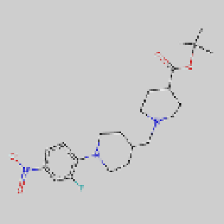 CC(C)(C)OC(=O)C1CCN(CC2CCN(c3ccc([N+](=O)[O-])cc3F)CC2)CC1